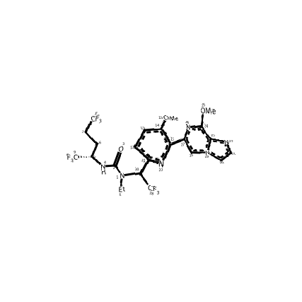 CCN(C(=O)N[C@@H](CCC(F)(F)F)C(F)(F)F)C(c1ccc(OC)c(-c2cn3ccnc3c(OC)n2)n1)C(F)(F)F